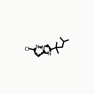 CC(C)CC(C)(C)c1cn2nc(Cl)ccc2n1